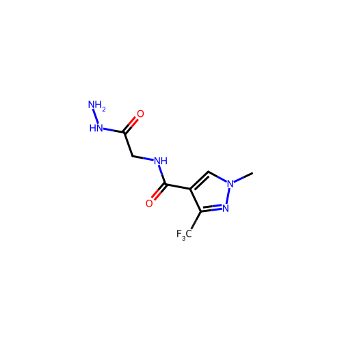 Cn1cc(C(=O)NCC(=O)NN)c(C(F)(F)F)n1